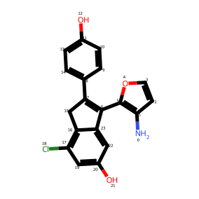 Nc1ccoc1C1=C(c2ccc(O)cc2)Cc2c(Cl)cc(O)cc21